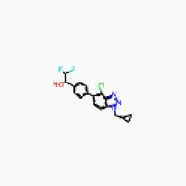 OC(c1ccc(-c2ccc3c(nnn3CC3CC3)c2Cl)cc1)C(F)F